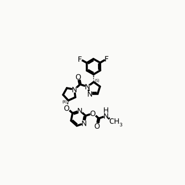 CNC(=O)Oc1nccc(O[C@@H]2CCN(C(=O)N3N=CC[C@H]3c3cc(F)cc(F)c3)C2)n1